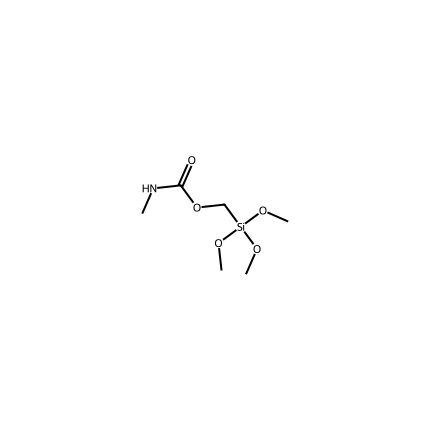 CNC(=O)OC[Si](OC)(OC)OC